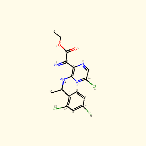 CCOC(=O)C(=N)c1ncc(Cl)nc1NC(C)c1ccc(Cl)cc1Cl